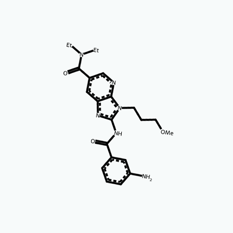 CCN(CC)C(=O)c1cnc2c(c1)nc(NC(=O)c1cccc(N)c1)n2CCCOC